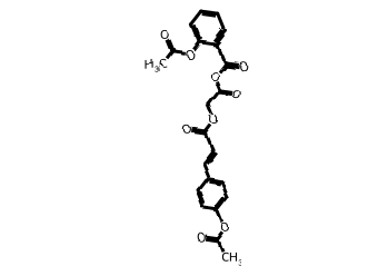 CC(=O)Oc1ccc(C=CC(=O)OCC(=O)OC(=O)c2ccccc2OC(C)=O)cc1